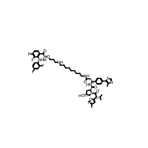 Cc1cc([C@H](C(=O)N2C[C@H](O)C[C@H]2C(=O)N[C@@H](CC(=O)NCCCCCCCCCNCCCONC(=O)c2ccc(F)c(F)c2Nc2ccc(I)cc2F)c2ccc(-c3scnc3C)cc2)C(C)C)on1